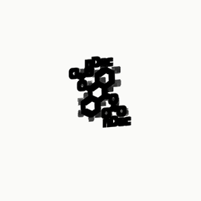 CCCCCCCCCCOC(=O)Oc1c2ccccc2c(OC(=O)OCCCCCCCCCC)c2ccccc12